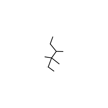 C[CH]C(C)(C)C(C)CC